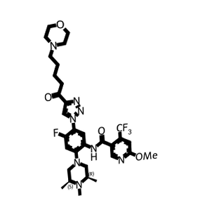 COc1cc(C(F)(F)F)c(C(=O)Nc2cc(-n3cc(C(=O)CCCCN4CCOCC4)nn3)c(F)cc2N2C[C@@H](C)N(C)[C@@H](C)C2)cn1